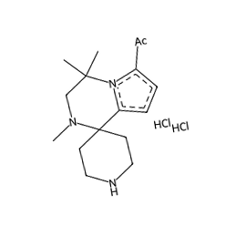 CC(=O)c1ccc2n1C(C)(C)CN(C)C21CCNCC1.Cl.Cl